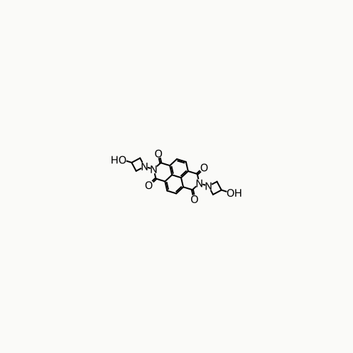 O=C1c2ccc3c4c(ccc(c24)C(=O)N1N1CC(O)C1)C(=O)N(N1CC(O)C1)C3=O